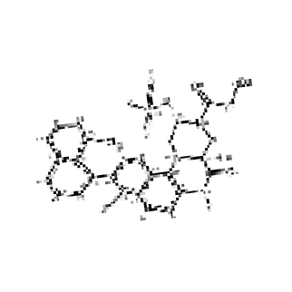 CN1C(=O)[C@@H]2CN(C(=O)OC(C)(C)C)[C@@H](CS(C)(=O)=O)CN2c2c1cnc1c(F)c(-c3cccc4cccc(Cl)c34)ncc21